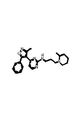 Cc1noc(-c2ccccc2)c1-c1ccnc(NCCCN2CCCCC2C)n1